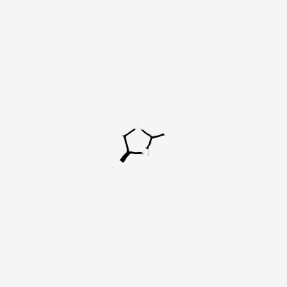 CC(=O)[C]1NCC(=O)N1